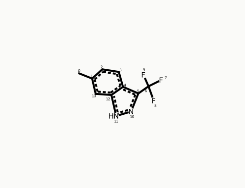 Cc1ccc2c(C(F)(F)F)n[nH]c2c1